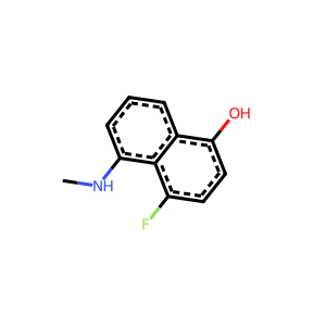 CNc1cccc2c(O)ccc(F)c12